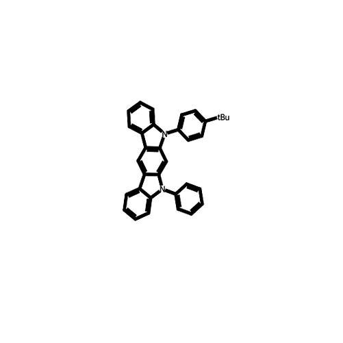 CC(C)(C)c1ccc(-n2c3ccccc3c3cc4c5ccccc5n(-c5ccccc5)c4cc32)cc1